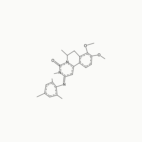 COc1ccc2c(c1OC)CC(C)n1c-2c/c(=N/c2c(C)cc(C)cc2C)n(C)c1=O